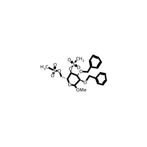 COC1O[C@H](COS(C)(=O)=O)[C@@H](OS(C)(=O)=O)[C@H](OCc2ccccc2)[C@H]1OCc1ccccc1